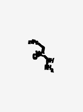 CCCC[14C](=O)NN